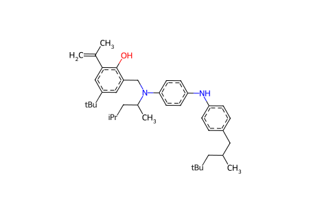 C=C(C)c1cc(C(C)(C)C)cc(CN(c2ccc(Nc3ccc(CC(C)CC(C)(C)C)cc3)cc2)C(C)CC(C)C)c1O